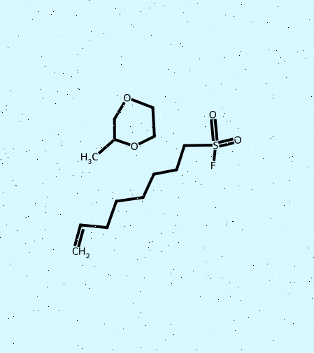 C=CCCCCCCS(=O)(=O)F.CC1COCCO1